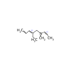 C=C/C=C(\CC)C[N+](=C)/C=C\C